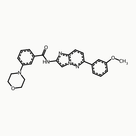 COc1cccc(-c2ccc3nc(NC(=O)c4cccc(N5CCOCC5)c4)cn3n2)c1